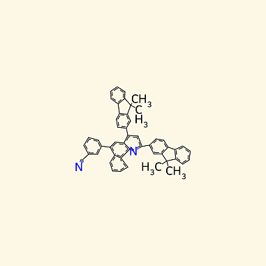 CC1(C)c2ccccc2-c2ccc(-c3cc(-c4ccc5c(c4)C(C)(C)c4ccccc4-5)c4cc(-c5cccc(C#N)c5)c5ccccc5c4n3)cc21